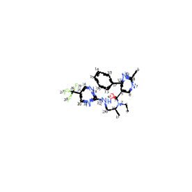 CCN(C(=O)c1cnc(C)nc1-c1ccccc1)C(C)CNc1ncc(C(F)(F)F)cn1